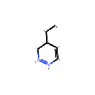 CCC1C=CN=NC1